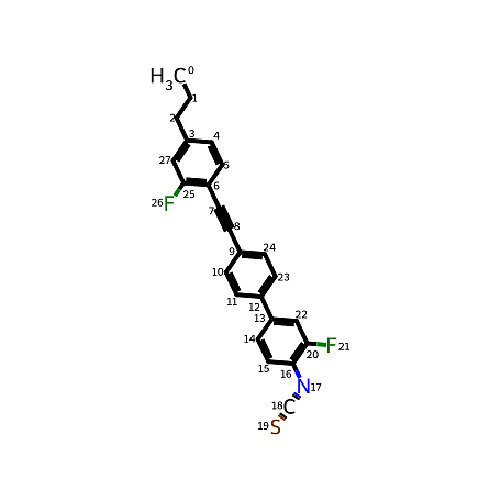 CCCc1ccc(C#Cc2ccc(-c3ccc(N=C=S)c(F)c3)cc2)c(F)c1